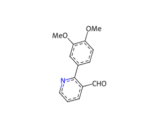 COc1ccc(-c2ncccc2C=O)cc1OC